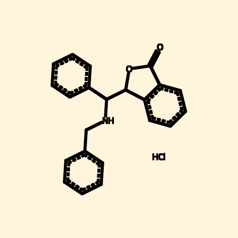 Cl.O=C1OC(C(NCc2ccccc2)c2ccccc2)c2ccccc21